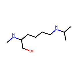 CNC(CO)CCCCNC(C)C